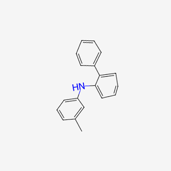 Cc1cccc(Nc2ccccc2-c2ccccc2)c1